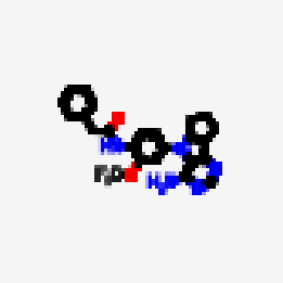 Nc1ncnc2c3c(n(-c4ccc(NC(=O)Cc5ccccc5)c(OC(F)(F)F)c4)c12)CCC3